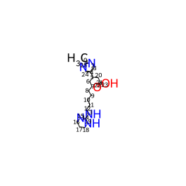 Cc1ncc(C(CCCCCCCNC2=NCCCN2)CC(=O)O)cn1